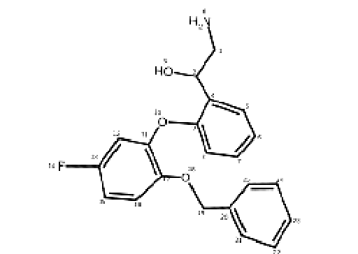 NCC(O)c1ccccc1Oc1cc(F)ccc1OCc1ccccc1